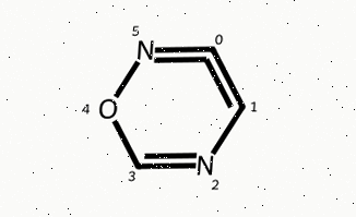 C1=CN=CON=1